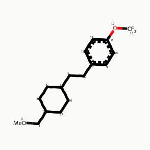 COCC1CCC(CCc2ccc(OC(F)(F)F)cc2)CC1